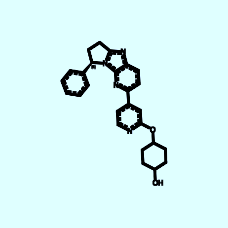 OC1CCC(Oc2cc(-c3ccc4nc5n(c4n3)[C@@H](c3ccccc3)CC5)ccn2)CC1